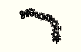 O=[N+]([O-])c1cn2c(n1)O[C@@H](COc1ccc(N3CCN(Cc4ccc(NCc5ccc(C(F)(F)F)cc5)cc4)CC3)cc1)CC2